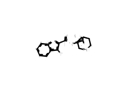 O=C(N[C@@H]1CN2CCC1CC2)c1sc2ccccc2c1Cl